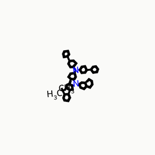 CC1(C)c2ccccc2-c2cc3c(cc21)c1ccc(N(c2ccc(-c4ccccc4)cc2)c2ccc(-c4ccccc4)cc2)cc1n3-c1ccc2ccccc2c1